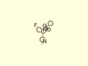 Cc1ccc(-c2cn(S(=O)(=O)c3ccccc3)c3cc(F)ccc23)cn1